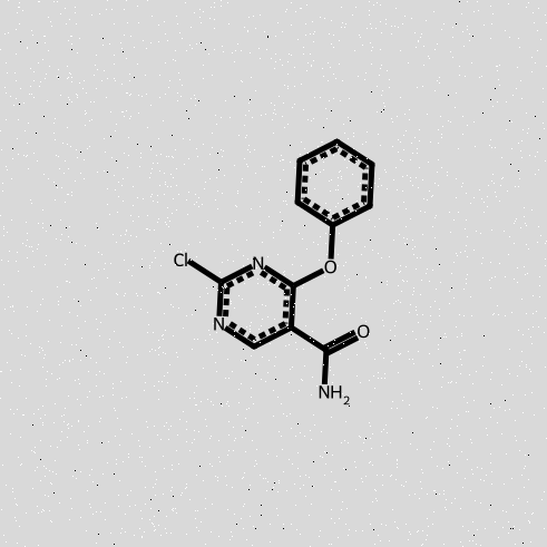 NC(=O)c1cnc(Cl)nc1Oc1ccccc1